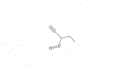 C#CC(CC)[S+]=O